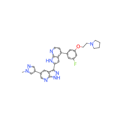 Cn1cc(-c2cnc3[nH]nc(-c4cc5c(-c6cc(F)cc(OCCN7CCCC7)c6)ccnc5[nH]4)c3c2)cn1